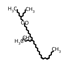 CCCCC/C=C\C/C=C\CCCCCCCCCC(CCCCCCCCC(=O)OCCC(CCCCC)CCCCC)CCCN(C)C